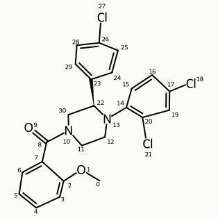 COc1ccccc1C(=O)N1CCN(c2ccc(Cl)cc2Cl)[C@H](c2ccc(Cl)cc2)C1